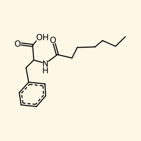 CCCCCCC(=O)NC(Cc1ccccc1)C(=O)O